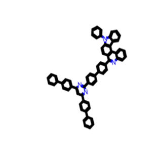 c1ccc(-c2ccc(-c3cc(-c4ccc(-c5ccccc5)cc4)nc(-c4ccc(-c5ccc(-c6nc7ccccc7c7c6ccc6c7c7ccccc7n6-c6ccccc6)cc5)cc4)n3)cc2)cc1